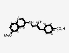 COc1ccc2ncc(NC/C(C)=C/c3ccc(C(=O)O)cc3)cc2c1